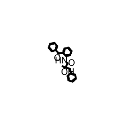 CC(O)(Cc1ccccc1)C(=O)Nc1ccccc1C(=O)c1ccccc1